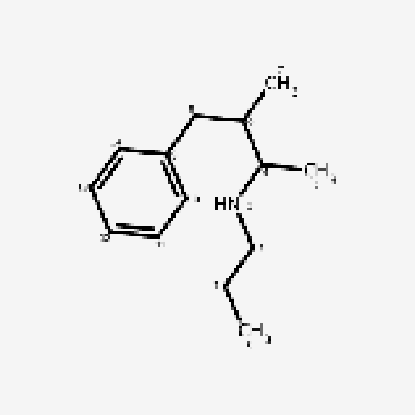 CCCNC(C)C(C)Cc1ccccc1